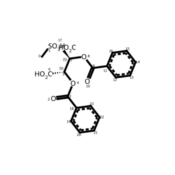 CS(=O)(=O)O.O=C(O[C@H](C(=O)O)[C@H](OC(=O)c1ccccc1)C(=O)O)c1ccccc1